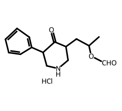 CC(CC1CNCC(c2ccccc2)C1=O)OC=O.Cl